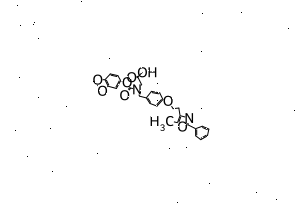 Cc1oc(-c2ccccc2)nc1CCOc1ccc(CN(CC(=O)O)C(=O)Oc2ccc3c(c2)OCO3)cc1